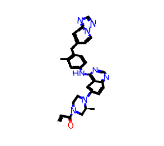 C=CC(=O)N1CCN(c2ccc3ncnc(Nc4ccc(Cc5ccn6ncnc6c5)c(C)c4)c3c2)[C@@H](C)C1